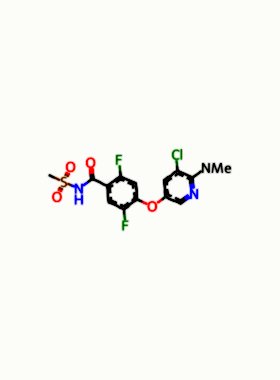 CNc1ncc(Oc2cc(F)c(C(=O)NS(C)(=O)=O)cc2F)cc1Cl